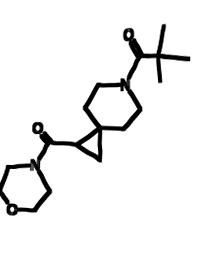 CC(C)(C)C(=O)N1CCC2(CC1)CC2C(=O)N1CCOCC1